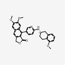 COc1cc2cc3c(c(-c4ccc(N[C@H]5CCc6c(cccc6OC)C5)nc4)c2cc1OC)C(=O)OC3